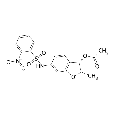 CC(=O)O[C@H]1c2ccc(NS(=O)(=O)c3ccccc3[N+](=O)[O-])cc2OC1C